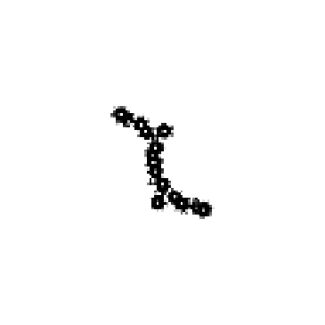 c1ccc(N(c2ccc3cc(-c4cc5ccccc5o4)ccc3c2)c2ccc3c(c2)oc2cc4cc5oc6cc(N(c7ccccc7)c7ccc8cc(-c9cc%10ccccc%10o9)ccc8c7)ccc6c5cc4cc23)cc1